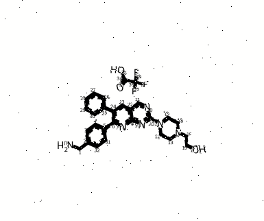 NCc1ccc(-c2nc3nc(N4CCN(CCO)CC4)ncc3cc2-c2ccccc2)cc1.O=C(O)C(F)(F)F